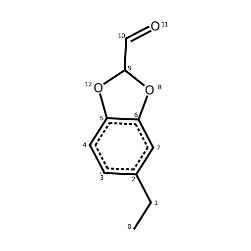 CCc1[c]cc2c(c1)OC(C=O)O2